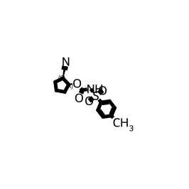 Cc1ccc(S(=O)(=O)NC(=O)O[C@@H]2CCC[C@H]2C#N)cc1